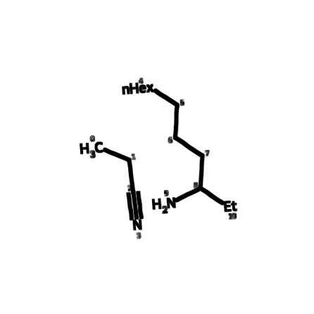 CCC#N.CCCCCCCCCC(N)CC